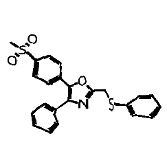 CS(=O)(=O)c1ccc(-c2oc(CSc3ccccc3)nc2-c2ccccc2)cc1